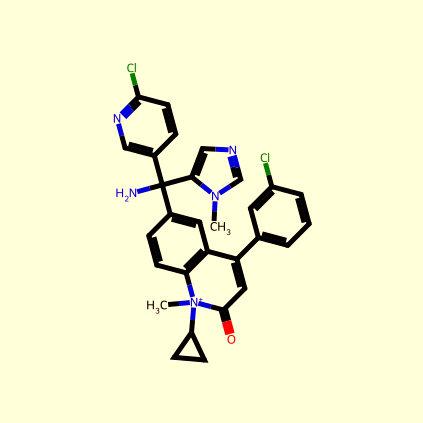 Cn1cncc1C(N)(c1ccc(Cl)nc1)c1ccc2c(c1)C(c1cccc(Cl)c1)=CC(=O)[N+]2(C)C1CC1